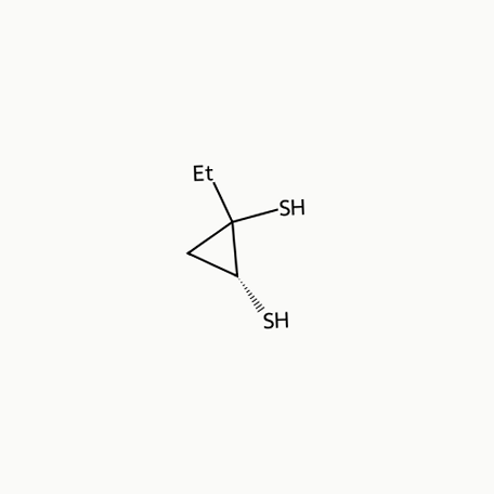 CCC1(S)C[C@H]1S